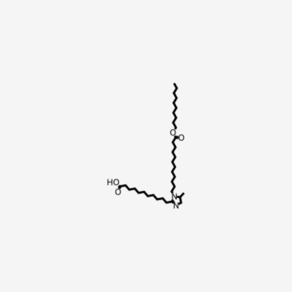 CCCCCCCCCCOC(=O)CCCCCCCCCCCN1C(CCCCCCCCCCC(=O)O)=NCC1C